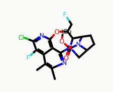 Cc1nc2c3c(nc(Cl)c(F)c3c1C)OC(CF)C1C3CCC(CN21)N3C(=O)OC(C)(C)C